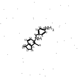 Cc1c(NCc2ccc(N)cc2)ccc2c1CCC2C